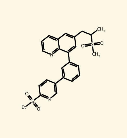 CCS(=O)(=O)c1ccc(-c2cccc(-c3cc(CC(C)S(C)(=O)=O)cc4cccnc34)c2)cn1